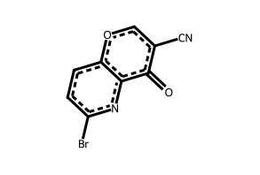 N#Cc1coc2ccc(Br)nc2c1=O